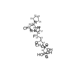 CO[C@H](COP(=O)(O)CP(=O)(O)O)C[C@H](F)c1cnc2c(N3CCCC3)cc(Cl)nn12